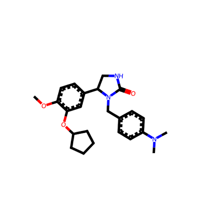 COc1ccc(C2CNC(=O)N2Cc2ccc(N(C)C)cc2)cc1OC1CCCC1